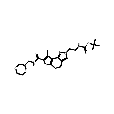 Cc1c(C(=O)NC[C@@H]2COCCO2)oc2c1-c1nn(CCNC(=O)OC(C)(C)C)cc1CC2